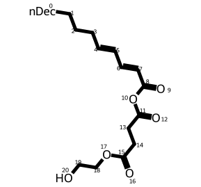 CCCCCCCCCCCCCC=CC=CC(=O)OC(=O)CCC(=O)OCCO